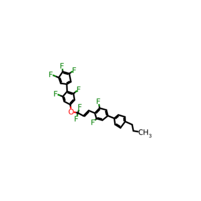 CCCc1ccc(-c2cc(F)c(/C=C/C(F)(F)Oc3cc(F)c(-c4cc(F)c(F)c(F)c4)c(F)c3)c(F)c2)cc1